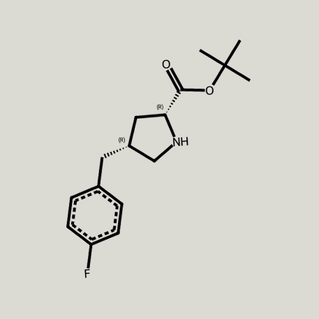 CC(C)(C)OC(=O)[C@H]1C[C@@H](Cc2ccc(F)cc2)CN1